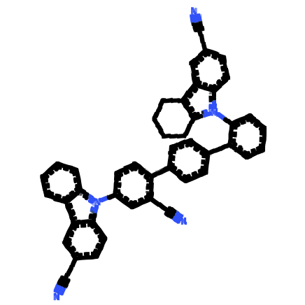 N#Cc1ccc2c(c1)c1c(n2-c2ccccc2-c2ccc(-c3ccc(-n4c5ccccc5c5cc(C#N)ccc54)cc3C#N)cc2)CCCC1